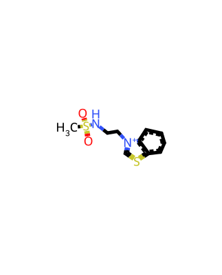 CS(=O)(=O)NCC[n+]1csc2ccccc21